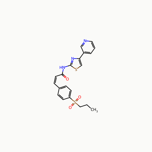 CCCS(=O)(=O)c1ccc(/C=C\C(=O)Nc2nc(-c3cccnc3)cs2)cc1